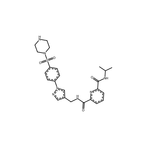 CC(C)NC(=O)c1cccc(C(=O)NCc2cnn(-c3ccc(S(=O)(=O)N4CCNCC4)cc3)c2)n1